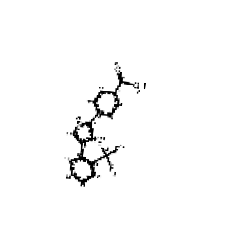 O=C(O)c1ccc(-c2nc(-c3ccccc3C(F)(F)F)cs2)cc1